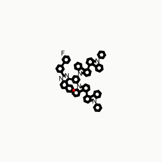 Fc1cccc(-c2cccc(-c3nc(-c4cc(-n5c6ccccc6c6c(-c7cccc8c7c7ccccc7n8-c7ccccc7)cccc65)cc(-n5c6ccccc6c6c(-c7cccc8c7c7ccccc7n8-c7ccccc7)cccc65)c4)c4c(ccc5ccccc54)n3)c2)c1